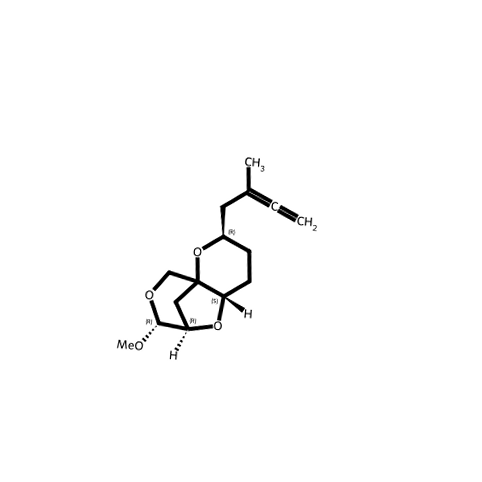 C=C=C(C)C[C@H]1CC[C@@H]2O[C@@H]3CC2(CO[C@H]3OC)O1